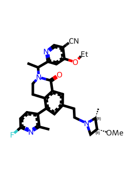 CCOc1cc(C(C)N2CCc3c(cc(CCN4C[C@@H](OC)[C@H]4C)cc3-c3ccc(F)nc3C)C2=O)ncc1C#N